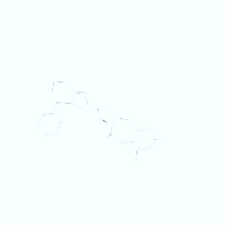 O=C(N[C@H]1COc2cc(F)cc(F)c2NC1=O)c1cc2n(n1)CCOC2c1ccccc1